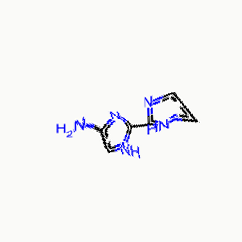 Nc1c[nH]c(-c2ncc[nH]2)n1